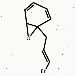 CCC=CCC12C=CC=CC1O2